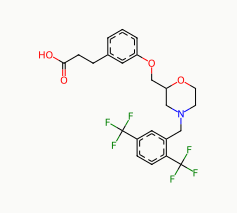 O=C(O)CCc1cccc(OCC2CN(Cc3cc(C(F)(F)F)ccc3C(F)(F)F)CCO2)c1